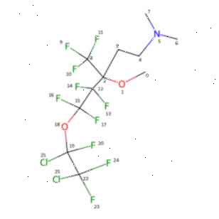 COC(CCN(C)C)(C(F)(F)F)C(F)(F)C(F)(F)OC(F)(Cl)C(F)(F)Cl